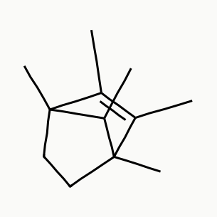 CC1=C(C)C2(C)CCC1(C)C2C